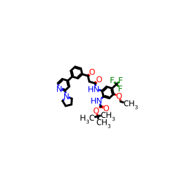 CCOc1cc(NC(=O)OC(C)(C)C)c(NC(=O)CC(=O)c2cccc(-c3ccnc(N4CCCC4)c3)c2)cc1C(F)(F)F